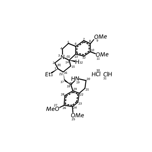 CC[C@H]1CN2CCc3cc(OC)c(OC)cc3[C@@H]2C[C@@H]1C[C@H]1NCCc2cc(OC)c(OC)cc21.Cl.Cl